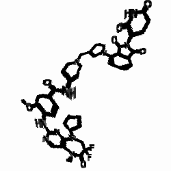 COc1cc(C(=O)NC2CCN(CC3CCN(c4cccc5c4C(=O)N(C4CCC(=O)NC4=O)C5=O)C3)CC2)ccc1Nc1ncc2c(n1)N(C1CCCC1)CC(F)(F)C(=O)N2C